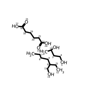 CC(O)CCO.CCCCC(CC)CO.O=C(O)CCCCC(=O)O